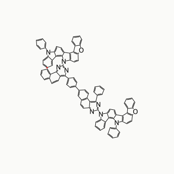 c1ccc(-c2nc(-n3c4ccccc4c4c3ccc3c5c6c(ccc5n(-c5ccccc5)c34)oc3ccccc36)nc3ccc4cc(-c5ccc(-c6nc(-n7c8ccc9oc%10ccccc%10c9c8c8ccc9c(c%10ccccc%10n9-c9ccccc9)c87)nc7c6ccc6ccccc67)cc5)ccc4c23)cc1